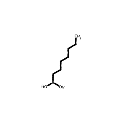 CCCCCCCB(O)O